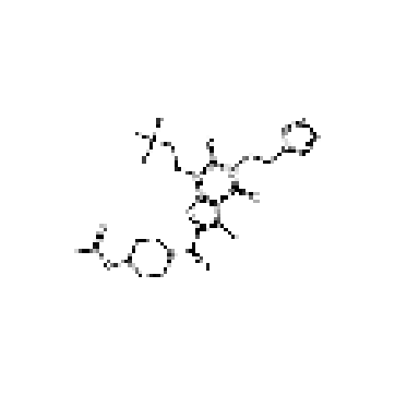 CC(=O)OC1CCN(C(=O)c2sc3c(c2C)c(=O)n(CCn2ccnc2)c(=O)n3CCC(F)(F)F)CC1